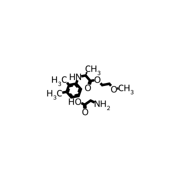 COCCOC(=O)[C@H](C)Nc1cccc(C)c1C.NCC(=O)O